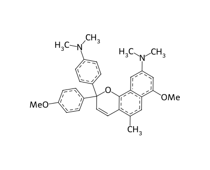 COc1ccc(C2(c3ccc(N(C)C)cc3)C=Cc3c(C)cc4c(OC)cc(N(C)C)cc4c3O2)cc1